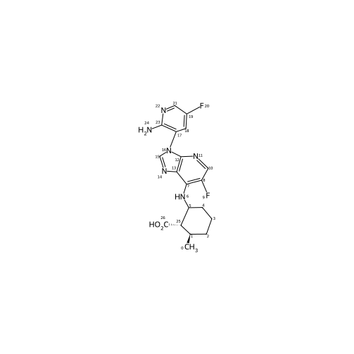 C[C@@H]1CCCC(Nc2c(F)cnc3c2ncn3-c2cc(F)cnc2N)[C@H]1C(=O)O